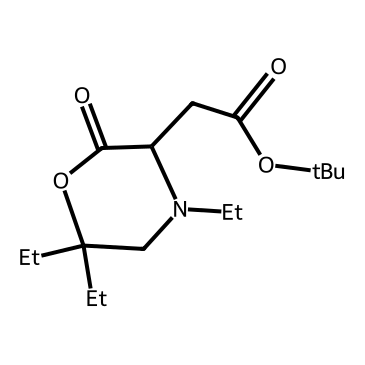 CCN1CC(CC)(CC)OC(=O)C1CC(=O)OC(C)(C)C